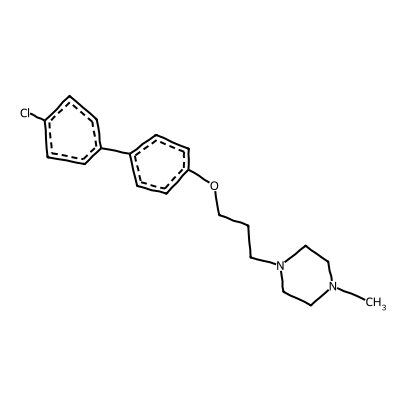 CN1CCN(CCCOc2ccc(-c3ccc(Cl)cc3)cc2)CC1